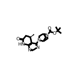 C[C@@H]1CC(=O)Nc2ncnc(N3CC4CC3CN4C(=O)OC(C)(C)C)c21